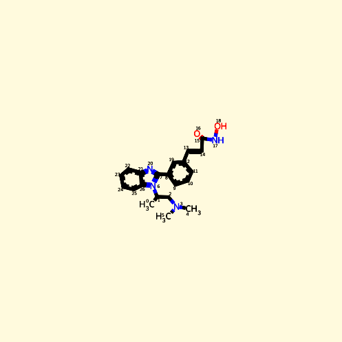 CC(CN(C)C)n1c(-c2cccc(/C=C/C(=O)NO)c2)nc2ccccc21